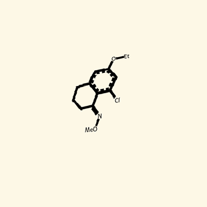 CCOc1cc(Cl)c2c(c1)CCC/C2=N\OC